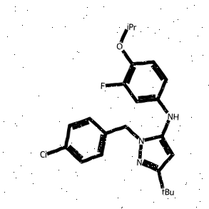 CC(C)Oc1ccc(Nc2cc(C(C)(C)C)nn2Cc2ccc(Cl)cc2)cc1F